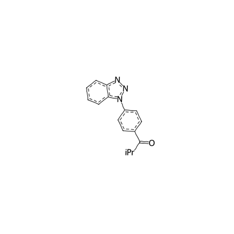 CC(C)C(=O)c1ccc(-n2nnc3ccccc32)cc1